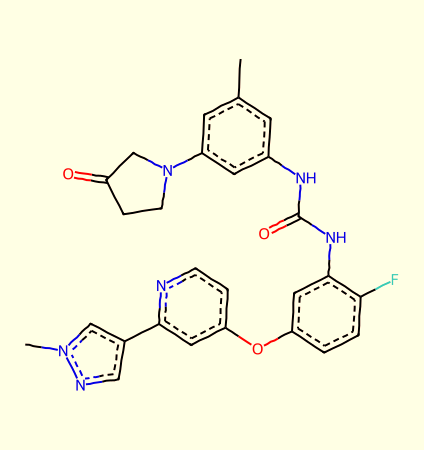 Cc1cc(NC(=O)Nc2cc(Oc3ccnc(-c4cnn(C)c4)c3)ccc2F)cc(N2CCC(=O)C2)c1